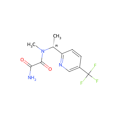 C[C@H](c1ccc(C(F)(F)F)cn1)N(C)C(=O)C(N)=O